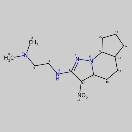 CN(C)CCNC1=NN2C3CCCC3CCC2C1[N+](=O)[O-]